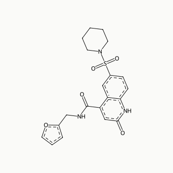 O=C(NCc1ccco1)c1cc(=O)[nH]c2ccc(S(=O)(=O)N3CCCCC3)cc12